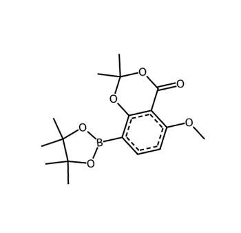 COc1ccc(B2OC(C)(C)C(C)(C)O2)c2c1C(=O)OC(C)(C)O2